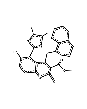 COC(=O)c1c(Cc2cccc3ccccc23)c2c(-c3nc(C)c(C)s3)c(Br)ccc2oc1=O